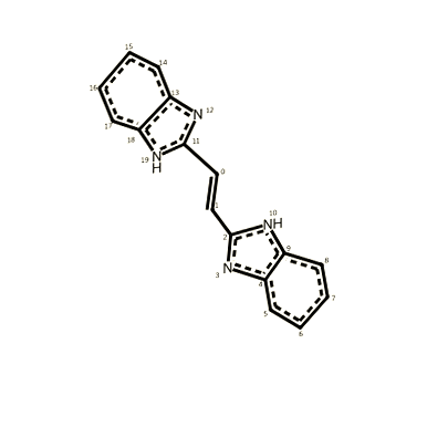 C(=Cc1nc2ccccc2[nH]1)c1nc2ccccc2[nH]1